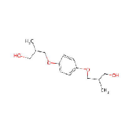 CC(CO)COc1ccc(OCC(C)CO)cc1